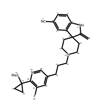 C=C1Nc2ccc(C#N)cc2C12CCN(CCCc1cnc(C3(SC)CC3)c(F)c1)CC2